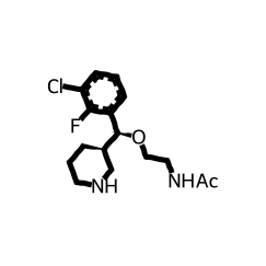 CC(=O)NCCO[C@H](c1cccc(Cl)c1F)[C@@H]1CCCNC1